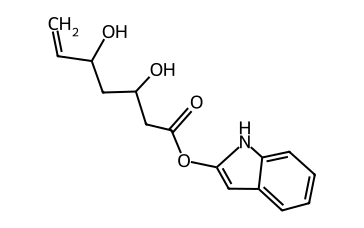 C=CC(O)CC(O)CC(=O)Oc1cc2ccccc2[nH]1